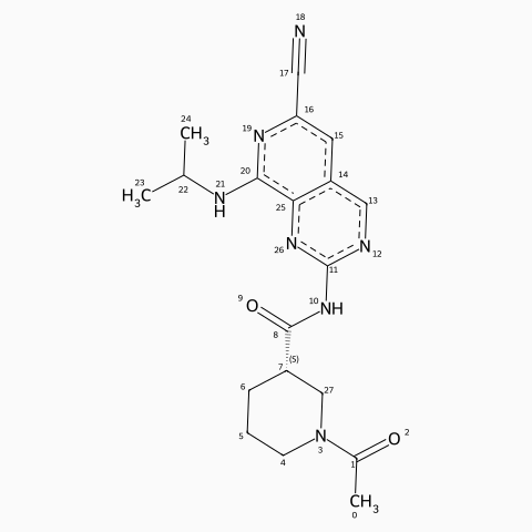 CC(=O)N1CCC[C@H](C(=O)Nc2ncc3cc(C#N)nc(NC(C)C)c3n2)C1